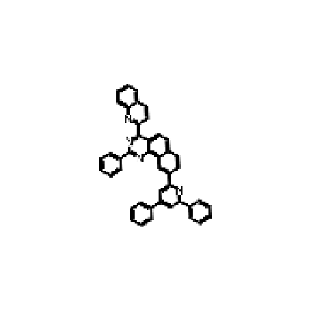 c1ccc(-c2cc(-c3ccccc3)nc(-c3ccc4ccc5c(-c6ccc7ccccc7n6)nc(-c6ccccc6)nc5c4c3)c2)cc1